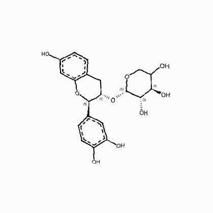 Oc1ccc2c(c1)O[C@H](c1ccc(O)c(O)c1)[C@@H](O[C@@H]1OCC(O)[C@@H](O)[C@@H]1O)C2